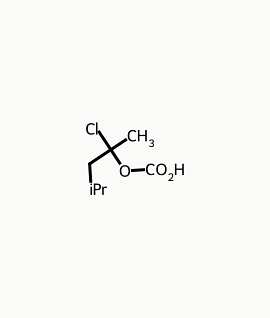 CC(C)CC(C)(Cl)OC(=O)O